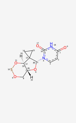 O=c1ccn([C@@H]2O[C@@H]3COSO[C@H]3C23CC3)c(=O)[nH]1